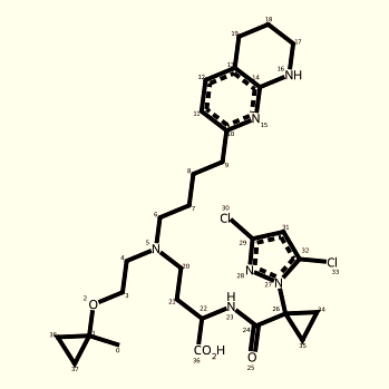 CC1(OCCN(CCCCc2ccc3c(n2)NCCC3)CCC(NC(=O)C2(n3nc(Cl)cc3Cl)CC2)C(=O)O)CC1